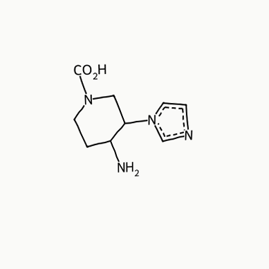 NC1CCN(C(=O)O)CC1n1ccnc1